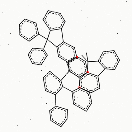 CC1(C)c2ccccc2-c2cccc(N(c3ccc4c(c3)C(c3ccccc3)(c3ccccc3)c3ccccc3-4)c3cccc(-c4ccccc4)c3-c3ccccc3-c3ccccc3)c21